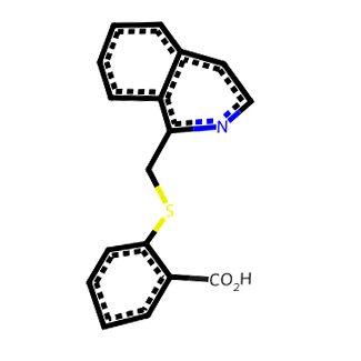 O=C(O)c1ccccc1SCc1nccc2ccccc12